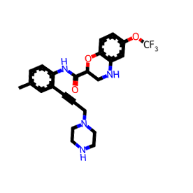 Cc1ccc(NC(=O)C2CNc3cc(OC(F)(F)F)ccc3O2)c(C#CCN2CCNCC2)c1